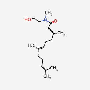 CC(C)=CCCC(C)=CCCC(C)=CC(=O)N(C)CCO